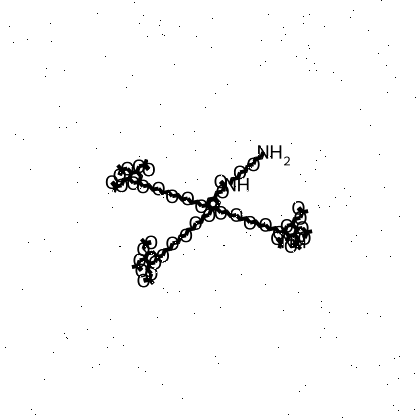 CC(=O)NC1C(OCCOCCOCCOCCOc2cc(COC(=O)NCCOCCOCCN)cc(OCCOCCOCCOCCOC3CC(OC(C)=O)C(OC(C)=O)C(COC(C)=O)O3)c2OCCOCCOCCOCCOC2C[C@H](OC(C)=O)C(OC(C)=O)C(COC(C)=O)O2)OC(COC(C)=O)C(OC(C)=O)C1OC(C)=O